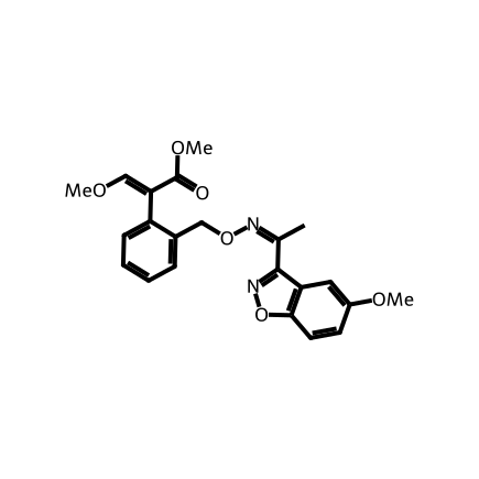 CO/C=C(/C(=O)OC)c1ccccc1CO/N=C(/C)c1noc2ccc(OC)cc12